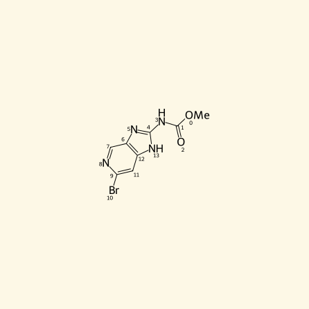 COC(=O)Nc1nc2cnc(Br)cc2[nH]1